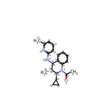 CC(=O)N1c2ccccc2[C@H](Nc2cccc(C)n2)[C@@H](C)[C@@H]1C1CC1